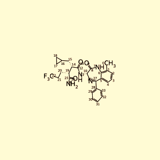 Cc1cccc2c1NC(=O)[C@@H](NC(=O)[C@@H](CC1CC1)[C@@H](CCC(F)(F)F)C(N)=O)N=C2c1ccccc1